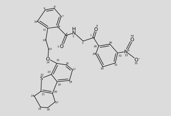 O=C(CNC(=O)c1ccccc1CCOc1cccc2c3c(sc12)CCCC3)c1cccc([N+](=O)[O-])c1